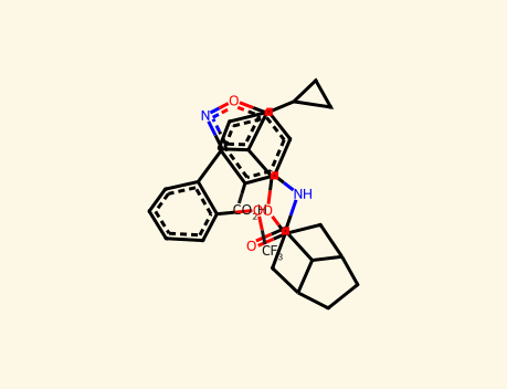 O=C(O)c1ccccc1NC(=O)C1C2CCC1CC(OCc1c(-c3ccccc3OC(F)(F)F)noc1C1CC1)C2